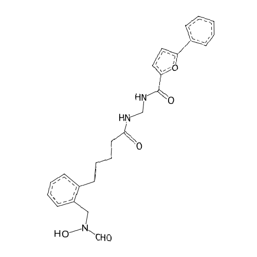 O=CN(O)Cc1ccccc1CCCCC(=O)NCNC(=O)c1ccc(-c2ccccc2)o1